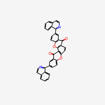 O=c1c2cc(-c3nccc4ccccc34)ccc2oc2c1ccc1oc3ccc(-c4nccc5ccccc45)cc3c(=O)c12